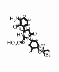 CC1CC(N2C(=O)C[C@@](C)(c3cccc(N)c3Cl)N/C2=N\C(=O)O)CCC1O[Si](C)(C)C(C)(C)C